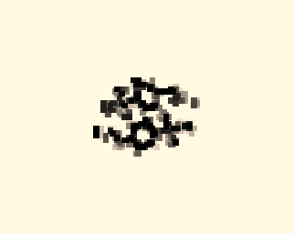 CNc1ccc(S(C)(=O)=O)nc1.CS(=O)(=O)c1ccc(CN)cn1